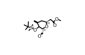 C=C1C[C@@H](CC(=O)OC)O[C@H](C=O)C1O[Si](C)(C)C(C)(C)C